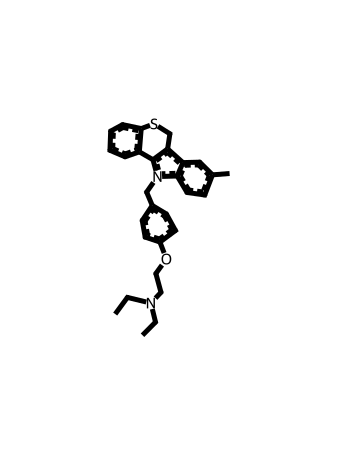 CCN(CC)CCOc1ccc(Cn2c3c(c4cc(C)ccc42)CSc2ccccc2-3)cc1